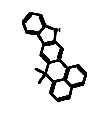 CC1(C)c2cc3c(cc2-c2cccc4cccc1c24)[nH]c1ccccc13